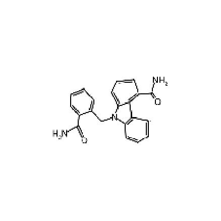 NC(=O)c1ccccc1Cn1c2ccc[c]c2c2c(C(N)=O)cccc21